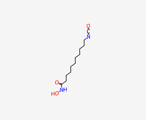 O=C=NCCCCCCCCCCC(=O)NO